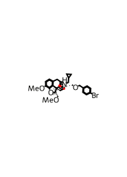 COC[C@@H]1Oc2c(OC)ccc3c2[C@@]12CCN(CC1CC1)[C@H](C3)[C@]21CCC[C@@H](COCc2ccc(Br)cc2)C1